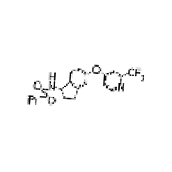 CC(C)S(=O)(=O)NC1CCc2cc(Oc3ccnc(C(F)(F)F)c3)ccc21